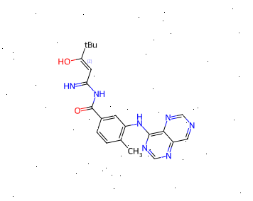 Cc1ccc(C(=O)NC(=N)/C=C(\O)C(C)(C)C)cc1Nc1ncnc2cncnc12